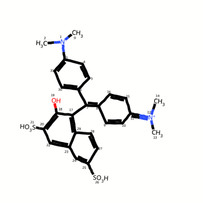 CN(C)c1ccc(C(=C2C=CC(=[N+](C)C)C=C2)c2c(O)c(S(=O)(=O)O)cc3cc(S(=O)(=O)O)ccc23)cc1